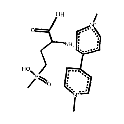 CP(=O)(O)CCC(N)C(=O)O.C[n+]1ccc(-c2cc[n+](C)cc2)cc1